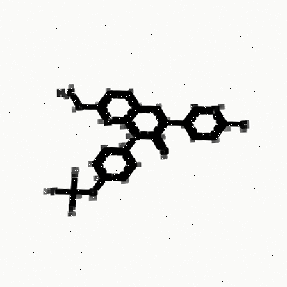 COc1ccc2cc(-c3ccc(Cl)nc3)c(=O)n(-c3ccc(OC(F)(F)F)cc3)c2n1